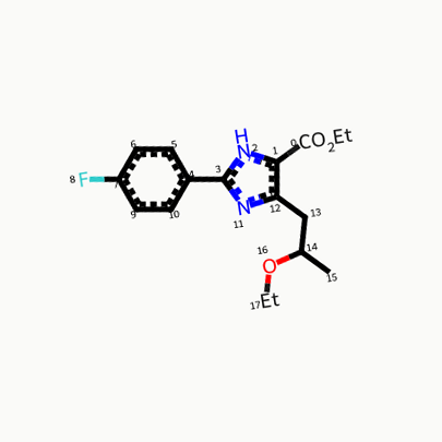 CCOC(=O)c1[nH]c(-c2ccc(F)cc2)nc1CC(C)OCC